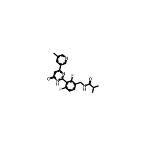 Cc1cncc(-c2cc(=O)[nH]c(-c3c(F)ccc(CNC(=O)C(C)C)c3F)n2)c1